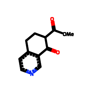 COC(=O)C1CCc2ccncc2C1=O